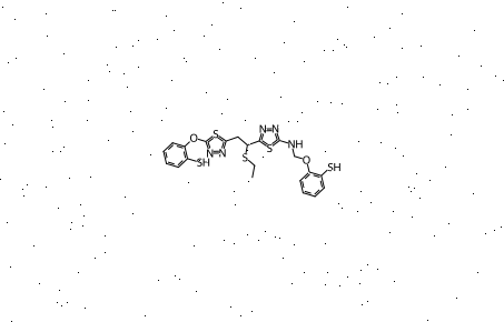 CCSC(Cc1nnc(Oc2ccccc2S)s1)c1nnc(NCOc2ccccc2S)s1